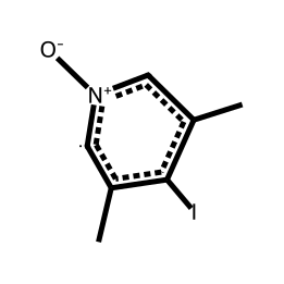 Cc1[c][n+]([O-])cc(C)c1I